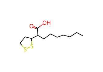 CCCCCCCC(C(=O)O)C1CCSS1